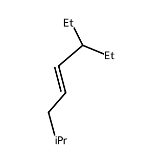 [CH2]C(C)CC=CC(CC)CC